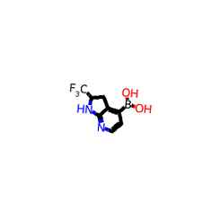 OB(O)c1ccnc2c1CC(C(F)(F)F)N2